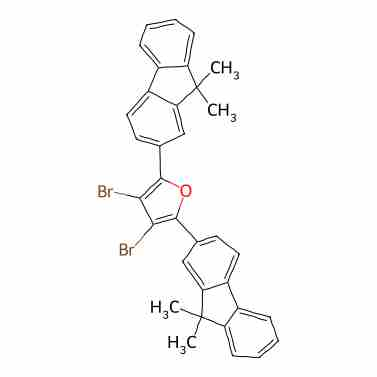 CC1(C)c2ccccc2-c2ccc(-c3oc(-c4ccc5c(c4)C(C)(C)c4ccccc4-5)c(Br)c3Br)cc21